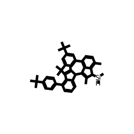 CC1=Cc2c(-c3ccc(C(C)(C)C)cc3)cccc2C1C1=C(C)C([SiH](C)C)c2c(C)ccc(-c3cc(C(C)(C)C)cc(C(C)(C)C)c3)c21